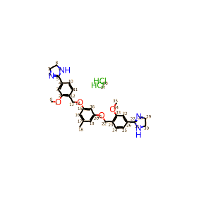 COc1cc(C2=NCCN2)ccc1COc1cc(C)cc(OCc2ccc(C3=NCCN3)cc2OC)c1.Cl.Cl